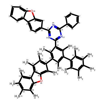 Bc1c(B)c(B)c(-c2c(B)c(-c3nc(-c4ccccc4)nc(-c4ccc5c(c4)oc4ccccc45)n3)c(B)c(-c3c(B)c(B)c4c(oc5c(B)c(B)c(B)c(B)c54)c3B)c2B)c(B)c1B